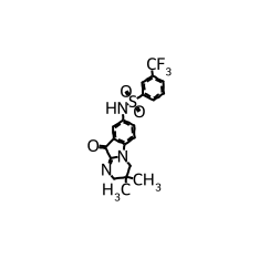 CC1(C)CN=C2C(=O)c3cc(NS(=O)(=O)c4cccc(C(F)(F)F)c4)ccc3N2C1